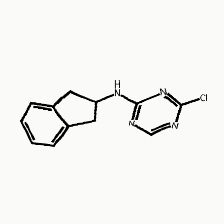 Clc1ncnc(NC2Cc3ccccc3C2)n1